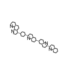 c1ccc2nc(-c3ccc4cc(-c5ccc6nc(-c7ccc(-c8ccnc9c8ccc8cccnc89)cc7)ccc6c5)ccc4n3)ccc2c1